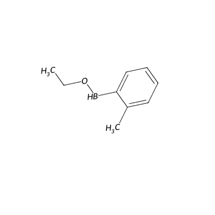 CCOBc1ccccc1C